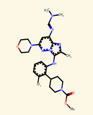 Cc1nc2c(/N=C/N(C)C)cc(N3CCOCC3)nn2c1Nc1cccc(C(F)(F)F)c1C1CCN(C(=O)OC(C)(C)C)CC1